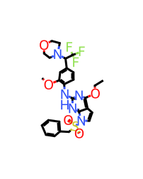 CCOc1nc(Nc2ccc(C(N3CCOCC3)C(F)(F)F)cc2OC)nc2c1ccn2S(=O)(=O)Cc1ccccc1